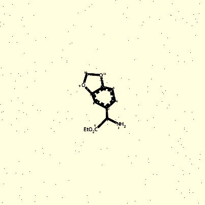 CCOC(=O)C(N)c1ccc2c(c1)OCO2